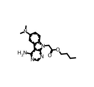 CCCCOC(=O)Cn1c2ccc(N(C)C)cc2c2c(N)ncnc21